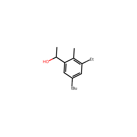 CCc1cc(C(C)(C)C)cc(C(C)O)c1C